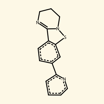 c1ccc(-c2ccc3c(c2)SN2CCCN=C32)nc1